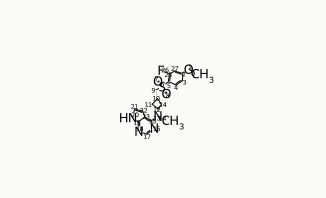 COc1ccc(S(=O)(=O)C[C@H]2C[C@@H](N(C)c3ncnc4[nH]ccc34)C2)c(F)c1